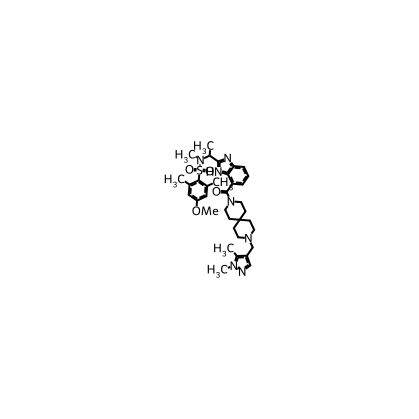 COc1cc(C)c(S(=O)(=O)N(C)C(C)c2nc3cccc(C(=O)N4CCC5(CCN(Cc6cnn(C)c6C)CC5)CC4)c3[nH]2)c(C)c1